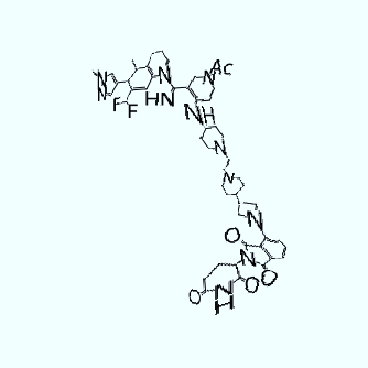 CC(=O)N1CCC(NC2CCN(CCN3CCC(C4CN(c5cccc6c5C(=O)N(C5CCC(=O)NC5=O)C6=O)C4)CC3)CC2)=C(C(=N)N2CCCC3=C2C=C(C(F)F)C(c2cnn(C)c2)C3C)C1